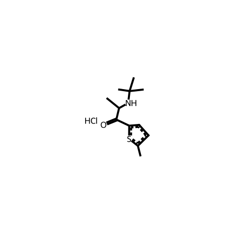 Cc1ccc(C(=O)C(C)NC(C)(C)C)s1.Cl